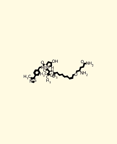 Cc1ncsc1-c1ccc(CNC(=O)[C@@H]2C[C@@H](O)CN2C(=O)[C@@H](NC(=O)CCCCC/C=C\COC[C@@H](N)CCC(N)=O)C(C)(C)C)cc1